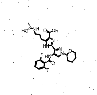 CB(O)NCCCc1[nH]c(-c2nn(C3CCCCO3)cc2NC(=O)c2c(F)cccc2F)nc1C(=O)O